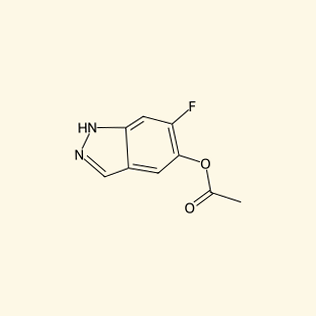 CC(=O)Oc1cc2cn[nH]c2cc1F